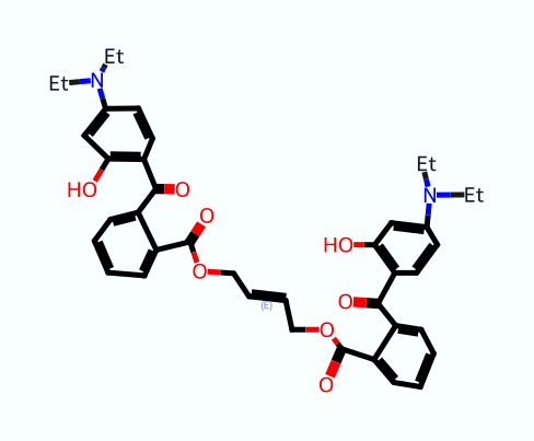 CCN(CC)c1ccc(C(=O)c2ccccc2C(=O)OC/C=C/COC(=O)c2ccccc2C(=O)c2ccc(N(CC)CC)cc2O)c(O)c1